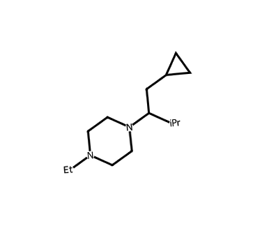 CCN1CCN(C(CC2CC2)C(C)C)CC1